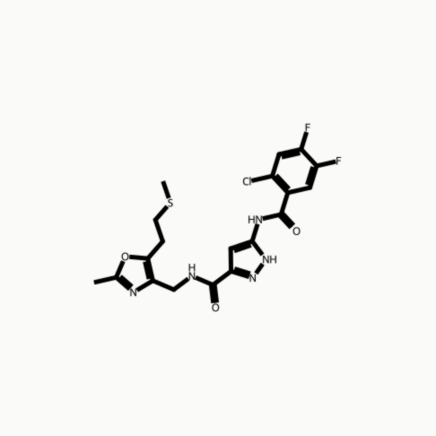 CSCCc1oc(C)nc1CNC(=O)c1cc(NC(=O)c2cc(F)c(F)cc2Cl)[nH]n1